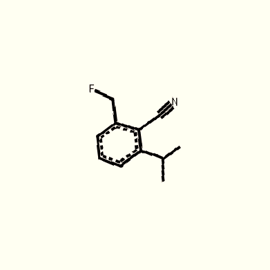 CC(C)c1cccc(CF)c1C#N